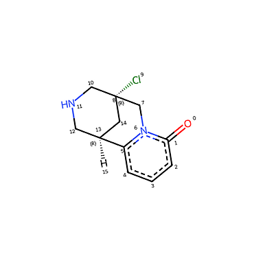 O=c1cccc2n1C[C@]1(Cl)CNC[C@H]2C1